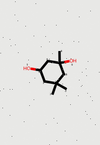 CC1(C)CC(O)CC(C)(O)C1